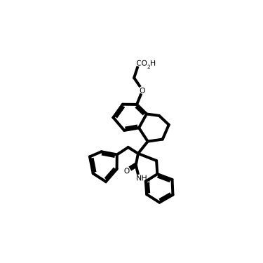 NC(=O)C(Cc1ccccc1)(Cc1ccccc1)C1CCCc2c(OCC(=O)O)cccc21